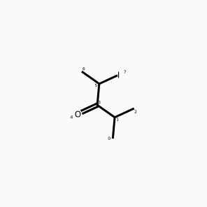 CC(C)C(=O)C(C)I